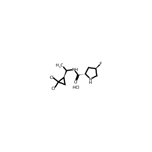 CC(NC(=O)[C@@H]1C[C@@H](F)CN1)[C@H]1CC1(Cl)Cl.Cl